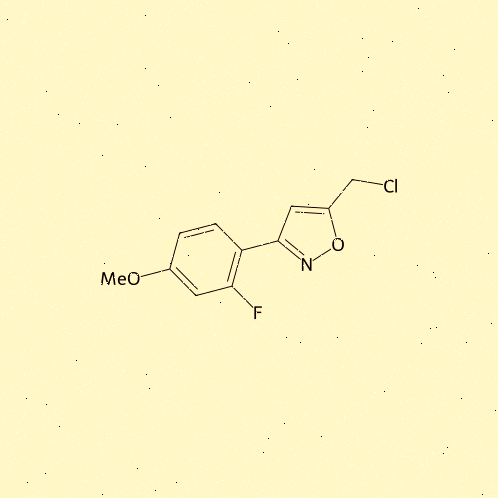 COc1ccc(-c2cc(CCl)on2)c(F)c1